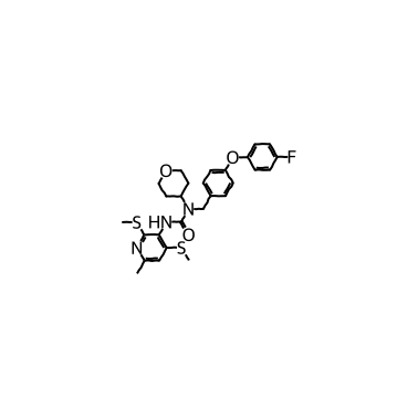 CSc1cc(C)nc(SC)c1NC(=O)N(Cc1ccc(Oc2ccc(F)cc2)cc1)C1CCOCC1